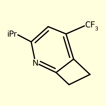 CC(C)c1cc(C(F)(F)F)c2c(n1)CC2